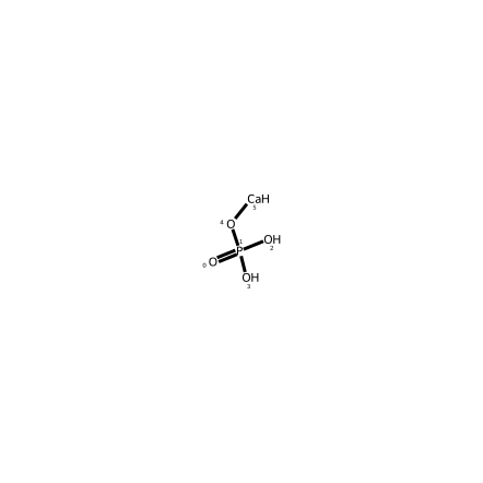 O=P(O)(O)[O][CaH]